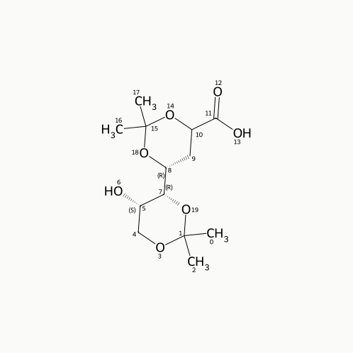 CC1(C)OC[C@H](O)[C@H]([C@H]2CC(C(=O)O)OC(C)(C)O2)O1